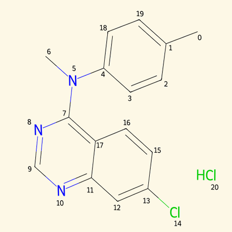 Cc1ccc(N(C)c2ncnc3cc(Cl)ccc23)cc1.Cl